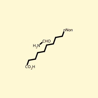 CCCCCCCCCCCCCCCCCC(=O)O.NC=O